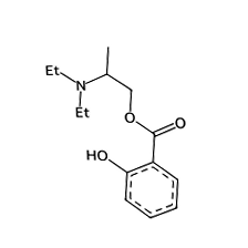 CCN(CC)C(C)COC(=O)c1ccccc1O